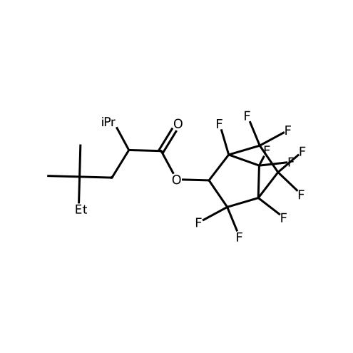 CCC(C)(C)CC(C(=O)OC1C(F)(F)C2(F)C(F)(F)C(F)(F)C1(F)C2(F)F)C(C)C